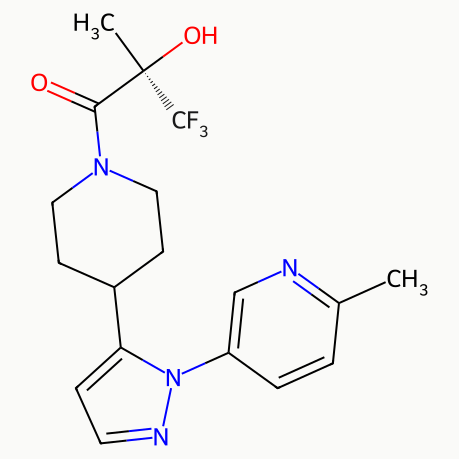 Cc1ccc(-n2nccc2C2CCN(C(=O)[C@@](C)(O)C(F)(F)F)CC2)cn1